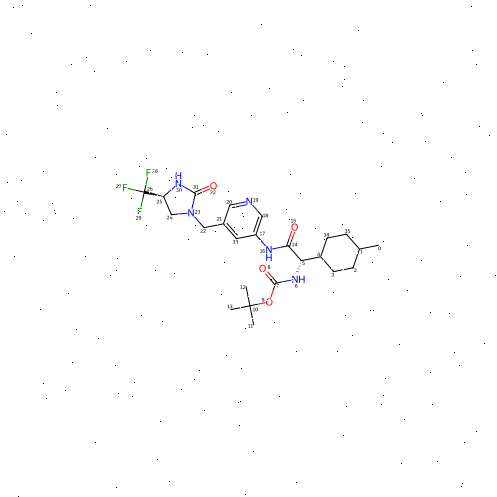 CC1CCC([C@H](NC(=O)OC(C)(C)C)C(=O)Nc2cncc(CN3C[C@@H](C(F)(F)F)NC3=O)c2)CC1